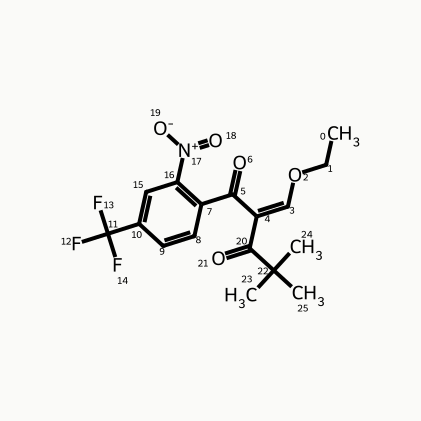 CCO/C=C(\C(=O)c1ccc(C(F)(F)F)cc1[N+](=O)[O-])C(=O)C(C)(C)C